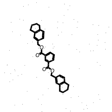 O=C(OCc1ccc2c(c1)CCCC2)c1cccc(C(=O)OCc2ccc3c(c2)CCCC3)c1